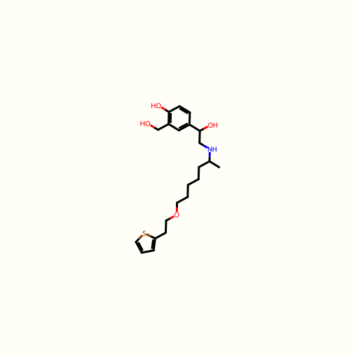 CC(CCCCCOCCc1cccs1)NCC(O)c1ccc(O)c(CO)c1